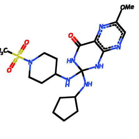 COc1cnc2c(n1)C(=O)NC(NC1CCCC1)(NC1CCN(S(C)(=O)=O)CC1)N2